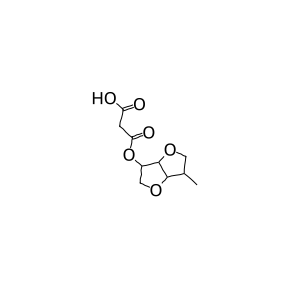 CC1COC2C(OC(=O)CC(=O)O)COC12